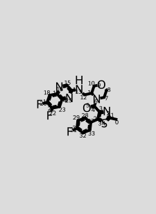 Cc1nc(C(=O)N2CCOCC2CNc2cnc3cc(F)c(F)cc3n2)c(-c2ccc(F)cc2)s1